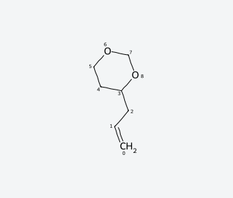 C=CCC1CCOCO1